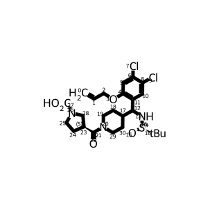 C=CCOc1cc(Cl)c(Cl)cc1C(N[S@@+]([O-])C(C)(C)C)C1CCN(C(=O)[C@H]2CCN(C(=O)O)C2)CC1